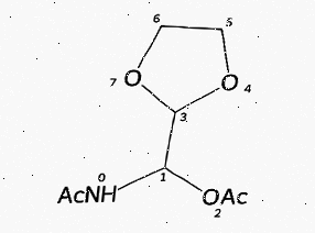 CC(=O)NC(OC(C)=O)C1OCCO1